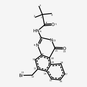 CC(C)(C)C(=O)NC1=Nc2cc(CBr)c3ccccc3c2C(=O)[N]1